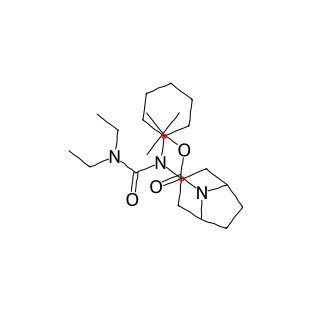 CCN(CC)C(=O)N(C1CCCCC1)C1CC2CCC(C1)N2C(=O)OC(C)(C)C